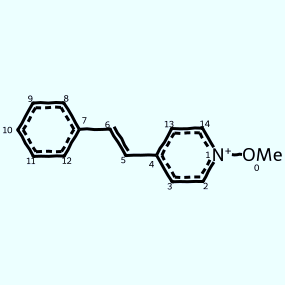 CO[n+]1ccc(C=Cc2ccccc2)cc1